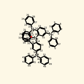 c1ccc(N(c2ccccc2)c2ccc(N(c3ccccc3)c3ccccc3)c(-n3c4ccccc4c4cc(N(c5ccccc5)c5ccccc5)ccc43)c2)cc1